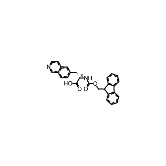 O=C(N[C@@H](Cc1ccc2cnccc2c1)C(=O)O)OCC1c2ccccc2-c2ccccc21